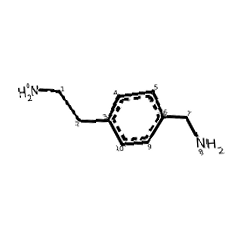 NCCc1ccc(CN)cc1